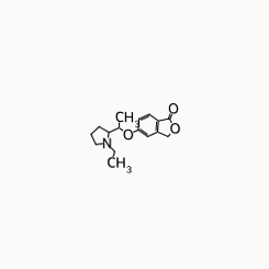 CCN1CCCC1C(C)Oc1ccc2c(c1)COC2=O